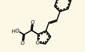 O=C(O)C(=O)c1occc1C=Cc1ccccc1